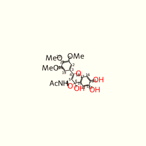 COc1cc(C2=CC(O)(ONC(C)=O)c3cc(O)c(O)cc3O2)cc(OC)c1OC